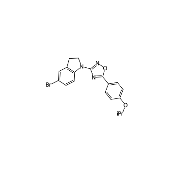 CC(C)Oc1ccc(-c2nc(N3CCc4cc(Br)ccc43)no2)cc1